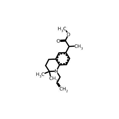 C=CCN1c2ccc(C(C)C(=O)OC)cc2CCC1(C)C